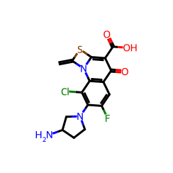 C=c1sc2c(C(=O)O)c(=O)c3cc(F)c(N4CCC(N)C4)c(Cl)c3n12